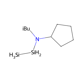 CCC(C)N([SiH2][SiH3])C1CCCC1